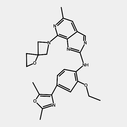 CCOc1cc(-c2nc(C)oc2C)ccc1Nc1ncc2cc(C)nc(N3CC4(CCO4)C3)c2n1